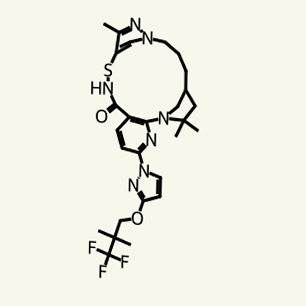 Cc1nn2cc1SNC(=O)c1ccc(-n3ccc(OCC(C)(C)C(F)(F)F)n3)nc1N1CC(CCC2)CC1(C)C